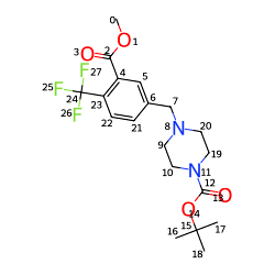 COC(=O)c1cc(CN2CCN(C(=O)OC(C)(C)C)CC2)ccc1C(F)(F)F